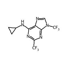 FC(F)(F)c1nc(NC2CC2)c2ncn(C(F)(F)F)c2n1